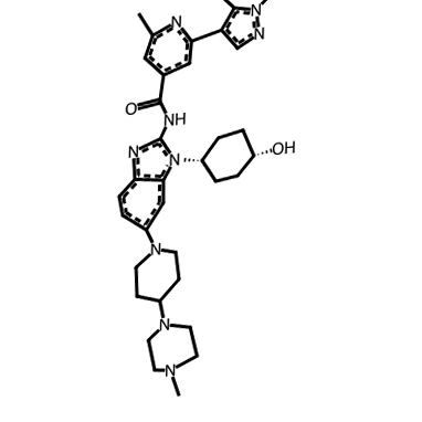 Cc1cc(C(=O)Nc2nc3ccc(N4CCC(N5CCN(C)CC5)CC4)cc3n2[C@H]2CC[C@@H](O)CC2)cc(-c2cnn(C)c2C)n1